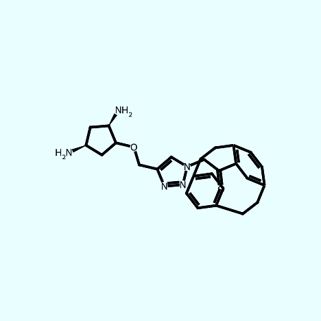 N[C@@H]1CC(OCc2cn(CC(=O)c3cc4ccc3CCc3ccc(cc3)CC4)nn2)[C@H](N)C1